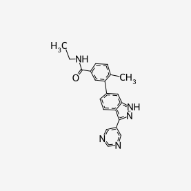 CCNC(=O)c1ccc(C)c(-c2ccc3c(-c4cncnc4)n[nH]c3c2)c1